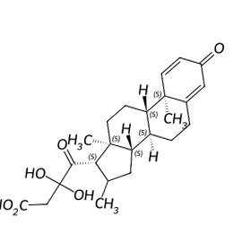 CC1C[C@H]2[C@@H]3CCC4=CC(=O)C=C[C@]4(C)[C@H]3CC[C@]2(C)[C@H]1C(=O)C(O)(O)CC(=O)O